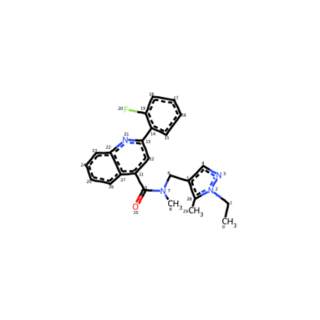 CCn1ncc(CN(C)C(=O)c2cc(-c3ccccc3F)nc3ccccc23)c1C